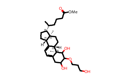 COC(=O)CCCC(C)[C@H]1CC[C@H]2C3=CC=C4CC(O)C(OCCCO)C(O)[C@]4(C)[C@H]3CC[C@]12C